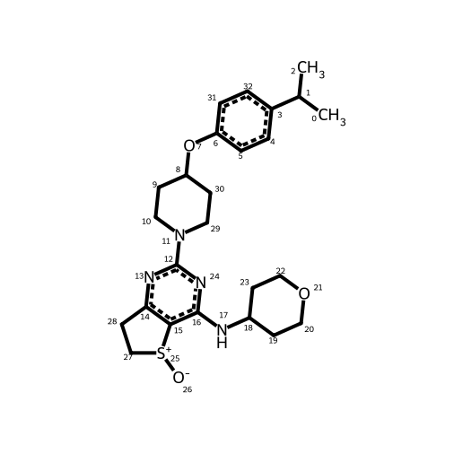 CC(C)c1ccc(OC2CCN(c3nc4c(c(NC5CCOCC5)n3)[S+]([O-])CC4)CC2)cc1